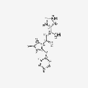 Cc1cc(Cc2ccncc2)c(C(=O)C=C(O)c2nc[nH]n2)o1